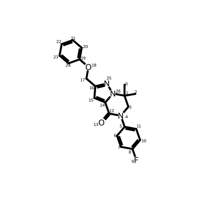 CC1(C)CN(c2ccc(F)cc2)C(=O)c2cc(COc3ccccc3)nn21